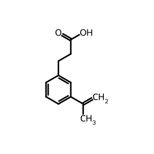 C=C(C)c1cccc(CCC(=O)O)c1